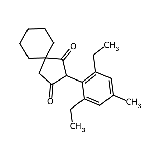 CCc1cc(C)cc(CC)c1C1C(=O)CC2(CCCCC2)C1=O